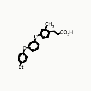 CCc1ccc(Oc2cccc(Oc3ccc(CCC(=O)O)c(C)c3)c2)cc1